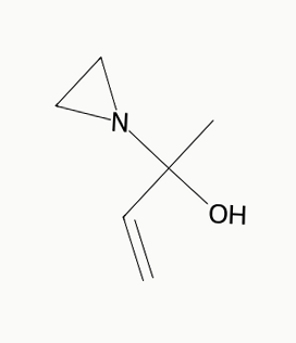 C=CC(C)(O)N1CC1